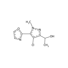 CC(O)c1nn(C)c(-c2ncco2)c1Cl